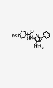 CC(=O)N1CCN(C(=O)Nc2nn(-c3ccccc3)cc2N)CC1